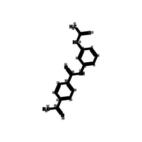 CC(=O)Nc1cccc(NC(=O)c2ccc(C(C)=O)cc2)c1